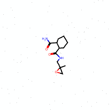 CC1(CNC(=O)C2CCCCC2C(N)=O)CO1